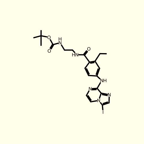 CCc1cc(Nc2nccn3c(I)cnc23)ccc1C(=O)NCCNC(=O)OC(C)(C)C